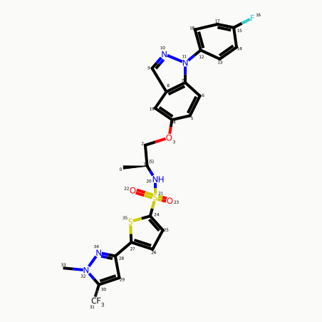 C[C@@H](COc1ccc2c(cnn2-c2ccc(F)cc2)c1)NS(=O)(=O)c1ccc(-c2cc(C(F)(F)F)n(C)n2)s1